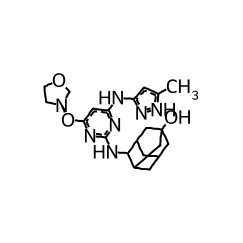 Cc1cc(Nc2cc(ON3CCOC3)nc(NC3C4CC5CC3CC(O)(C5)C4)n2)n[nH]1